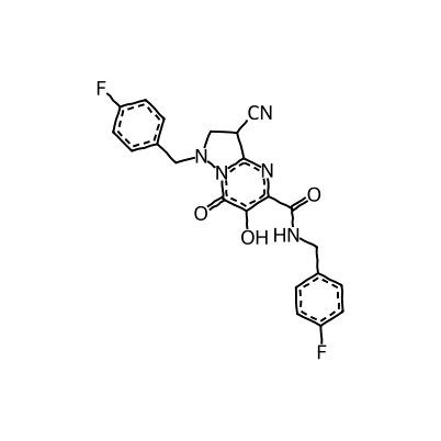 N#CC1CN(Cc2ccc(F)cc2)n2c1nc(C(=O)NCc1ccc(F)cc1)c(O)c2=O